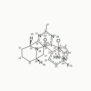 Cc1nc(-c2ccn[nH]2)c2c(n1)[C@H]1CCC[C@@H](C2)N1C(=O)c1ccc(F)cc1Cl